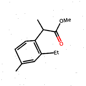 CCc1cc(C)ccc1C(C)C(=O)OC